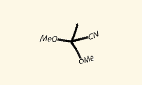 COC(C)(C#N)OC